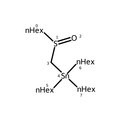 CCCCCCS(=O)[CH2][Sn]([CH2]CCCCC)([CH2]CCCCC)[CH2]CCCCC